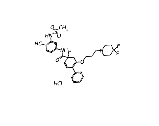 CS(=O)(=O)Nc1cc(NC(=O)C2(F)C=CC(c3ccccc3)=C(OCCCN3CCC(F)(F)CC3)C2)ccc1O.Cl